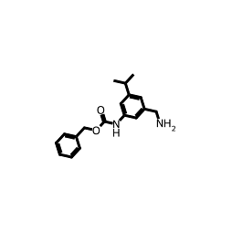 CC(C)c1cc(CN)cc(NC(=O)OCc2ccccc2)c1